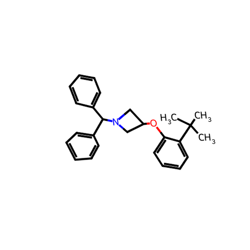 CC(C)(C)c1ccccc1OC1CN(C(c2ccccc2)c2ccccc2)C1